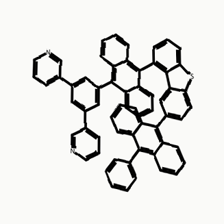 c1ccc(-c2c3ccccc3c(-c3ccc4sc5cccc(-c6c7ccccc7c(-c7cc(-c8cccnc8)cc(-c8cccnc8)c7)c7ccccc67)c5c4c3)c3ccccc23)cc1